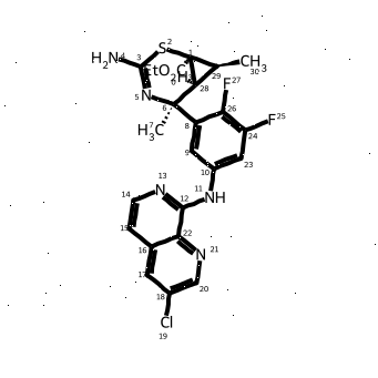 CCOC(=O)[C@@]12SC(N)=N[C@](C)(c3cc(Nc4nccc5cc(Cl)cnc45)cc(F)c3F)[C@@H]1[C@@H]2C